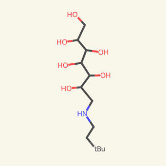 CC(C)(C)CCNCC(O)C(O)C(O)C(O)C(O)CO